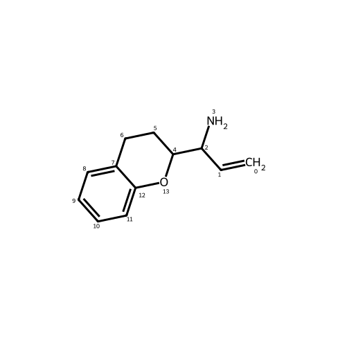 C=CC(N)C1CCc2ccccc2O1